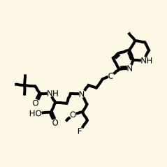 COC(CF)CN(CCCCc1ccc2c(n1)NCCC2C)CCC(NC(=O)CC(C)(C)C)C(=O)O